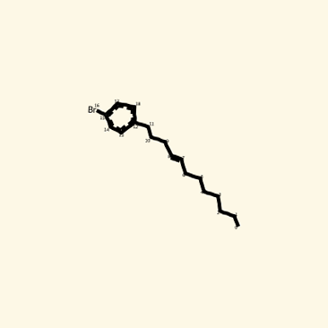 CCCCCCCC=CCCCc1ccc(Br)cc1